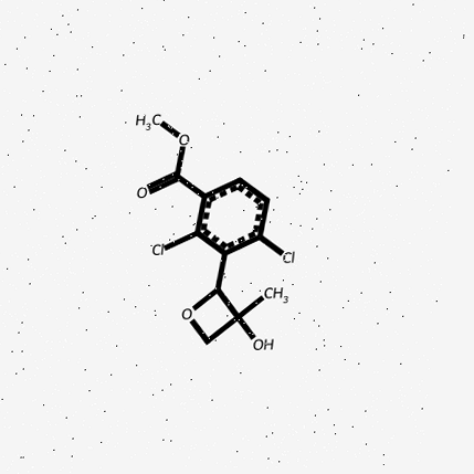 COC(=O)c1ccc(Cl)c(C2OCC2(C)O)c1Cl